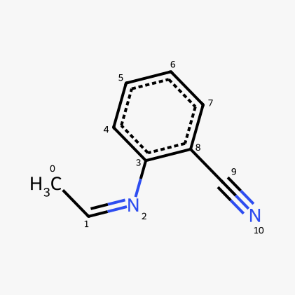 C/C=N\c1ccccc1C#N